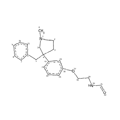 CN1CCC(Cc2ccccc2)(c2cccc(OCCNC=O)c2)C1